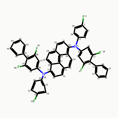 Fc1ccc(N(c2cc(F)c(-c3ccccc3)c(F)c2)c2ccc3ccc4c(N(c5ccc(F)cc5)c5cc(F)c(-c6ccccc6)c(F)c5)ccc5ccc2c3c54)cc1